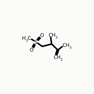 C=C(C)C(C)CS(C)(=O)=O